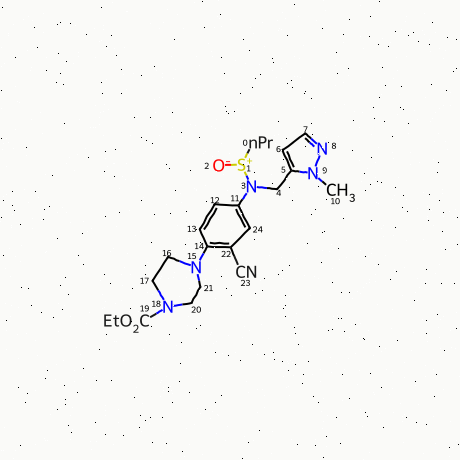 CCC[S+]([O-])N(Cc1ccnn1C)c1ccc(N2CCN(C(=O)OCC)CC2)c(C#N)c1